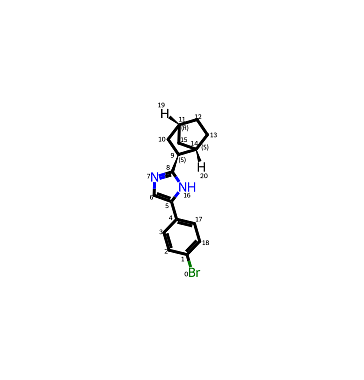 Brc1ccc(-c2cnc([C@H]3C[C@@H]4CC[C@H]3C4)[nH]2)cc1